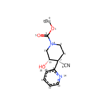 CC(C)(C)OC(=O)N1CC[C@@](C#N)(c2ccccn2)[C@H](O)C1